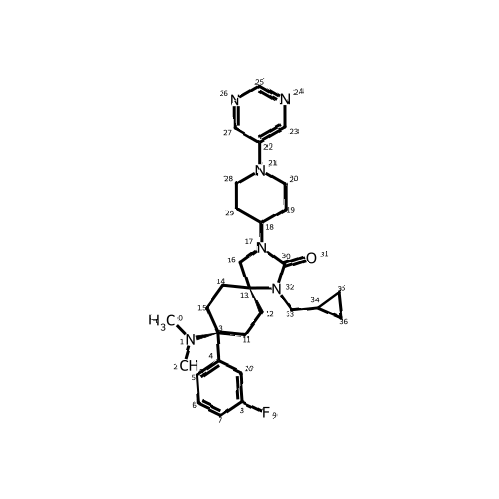 CN(C)[C@]1(c2cccc(F)c2)CC[C@@]2(CC1)CN(C1CCN(c3cncnc3)CC1)C(=O)N2CC1CC1